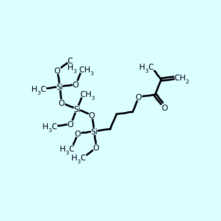 C=C(C)C(=O)OCCC[Si](OC)(OC)O[Si](C)(OC)O[Si](C)(OC)OC